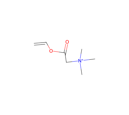 C=COC(=O)C[N+](C)(C)C